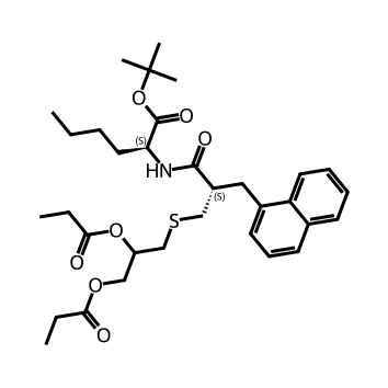 CCCC[C@H](NC(=O)[C@@H](CSCC(COC(=O)CC)OC(=O)CC)Cc1cccc2ccccc12)C(=O)OC(C)(C)C